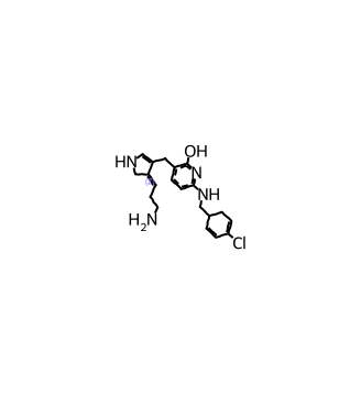 NCC/C=C1\CNC=C1Cc1ccc(NCC2C=CC(Cl)=CC2)nc1O